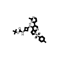 Cc1ccc(S(=O)(=O)n2ccc3c(NC4CC(NC(=O)OC(C)(C)C)C4)c(-c4ccnc(C)n4)cnc32)cc1